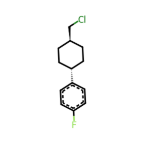 Fc1ccc([C@H]2CC[C@H](CCl)CC2)cc1